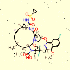 CC[C@@H]1C[C@@H](C)CC/C=C\[C@@H]2C[C@@]2(C(=O)NS(=O)(=O)C2CC2)NC(=O)[C@@H]2C[C@@H](Oc3ncc(OC)c4ccc(F)cc34)CN2C(=O)[C@H]1N(C(=O)O)C(C)(C)C(C)(F)F